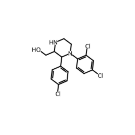 OCC1NCCN(c2ccc(Cl)cc2Cl)C1c1ccc(Cl)cc1